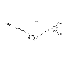 CCCCCCC(CCCCCCCCCCC(=O)OC(=O)CCCCCCCCC(=O)O)OC(=O)CCCCC.[LiH]